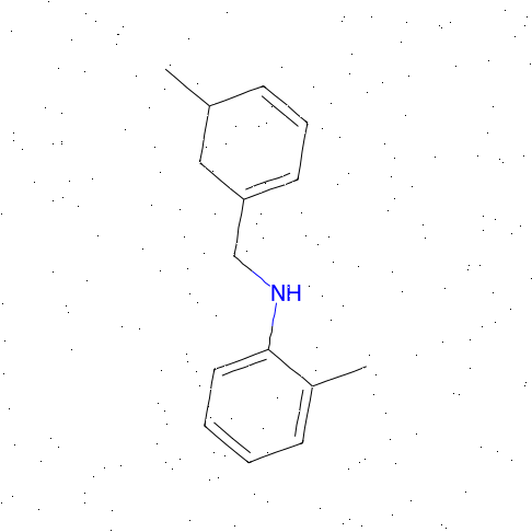 Cc1ccccc1NCC1=CC=CC(C)C1